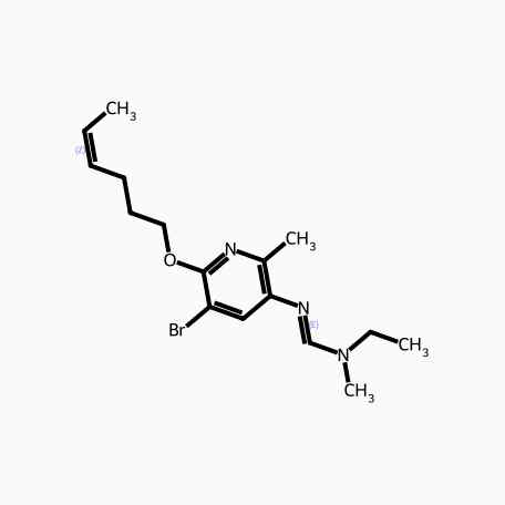 C/C=C\CCCOc1nc(C)c(/N=C/N(C)CC)cc1Br